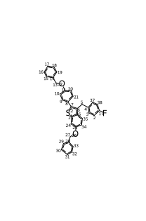 Fc1ccc(Cc2c(-c3ccc(OCc4ccccc4)cc3)sc3cc(OCc4ccccc4)ccc23)cc1